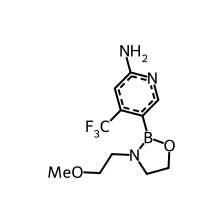 COCCN1CCOB1c1cnc(N)cc1C(F)(F)F